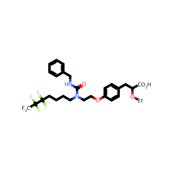 CCOC(Cc1ccc(OCCN(CCCCC(F)(F)C(F)(F)C(F)(F)F)C(=O)NCc2ccccc2)cc1)C(=O)O